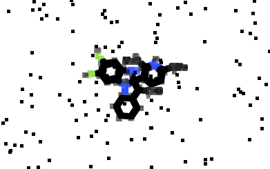 COc1ccc(C2(C(C=O)C3CCCCC3)Nc3cc(F)c(F)cc3N2)c(OC)n1